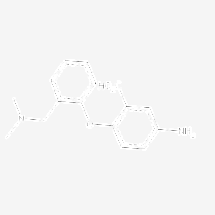 CN(C)Cc1ccccc1Oc1ccc(N)cc1C(=O)O